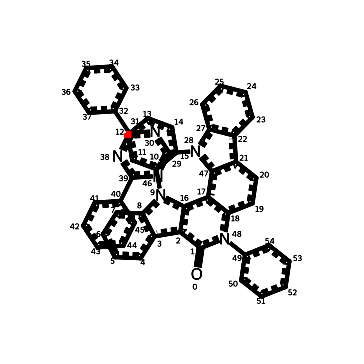 O=c1c2c3ccccc3n(-c3ccccc3)c2c2c(ccc3c4ccccc4n(-c4nc(-c5ccccc5)nc(-c5ccccc5)n4)c32)n1-c1ccccc1